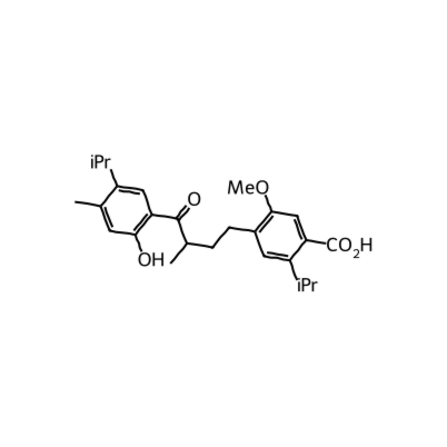 COc1cc(C(=O)O)c(C(C)C)cc1CCC(C)C(=O)c1cc(C(C)C)c(C)cc1O